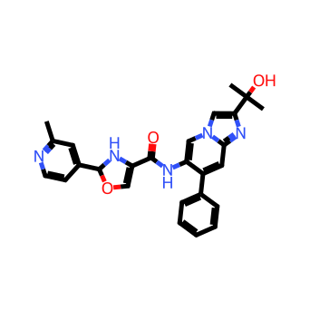 Cc1cc(C2NC(C(=O)Nc3cn4cc(C(C)(C)O)nc4cc3-c3ccccc3)=CO2)ccn1